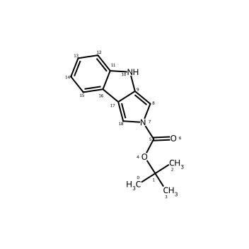 CC(C)(C)OC(=O)n1cc2[nH]c3ccccc3c2c1